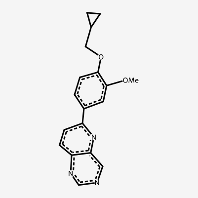 COc1cc(-c2ccc3ncncc3n2)ccc1OCC1CC1